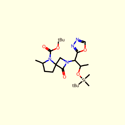 CC(O[Si](C)(C)C(C)(C)C)C(c1nnco1)N1CC2(CCC(C)N2C(=O)OC(C)(C)C)C1=O